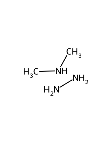 CNC.NN